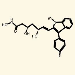 CC(C)n1c(/C=C/[C@@H](O)C[C@@H](O)CC(=O)NO)c(-c2ccc(F)cc2)c2ccccc21